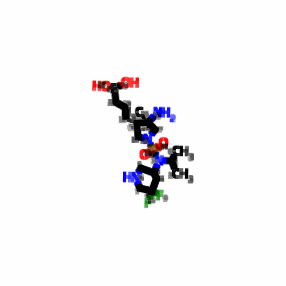 CC(C)N(C1CNCC(F)(F)C1)S(=O)(=O)N1C[C@H](CCCB(O)O)[C@@](C)(N)C1